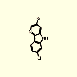 Clc1ccc2c(c1)[nH]c1cc(Br)cnc12